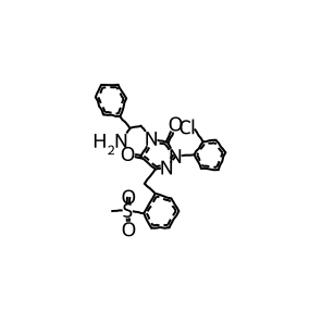 CS(=O)(=O)c1ccccc1Cc1nn(-c2ccccc2Cl)c(=O)n(CC(N)c2ccccc2)c1=O